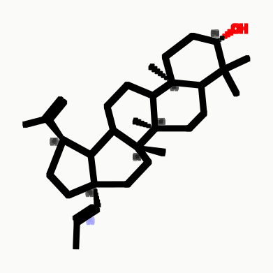 C=C(C)[C@@H]1CC[C@]2(/C=C/C)CC[C@]3(C)C(CCC4[C@@]5(C)CC[C@H](O)C(C)(C)C5CC[C@]43C)C12